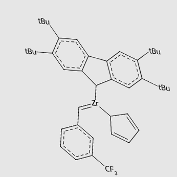 CC(C)(C)c1cc2c(cc1C(C)(C)C)[CH]([Zr](=[CH]c1cccc(C(F)(F)F)c1)[CH]1C=CC=C1)c1cc(C(C)(C)C)c(C(C)(C)C)cc1-2